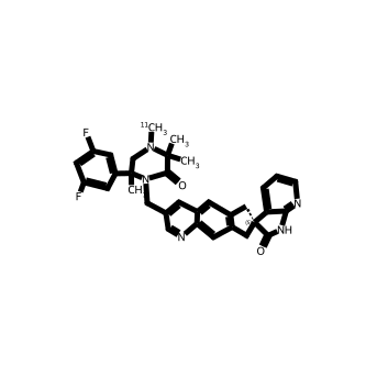 CC1(C)C(=O)N(Cc2cnc3cc4c(cc3c2)C[C@@]2(C4)C(=O)Nc3ncccc32)C(C)(c2cc(F)cc(F)c2)CN1[11CH3]